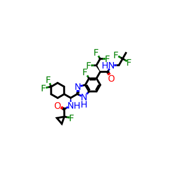 CC(F)(F)CNC(=O)[C@@H](c1ccc2[nH]c([C@@H](NC(=O)C3(F)CC3)C3CCC(F)(F)CC3)nc2c1F)C(F)C(F)F